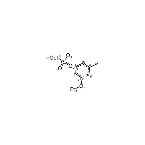 CCCCCCCCS(=O)(=O)[O-].CCO[n+]1cccc(C)c1